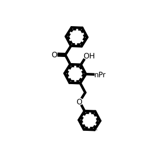 CCCc1c(COc2cc[c]cc2)ccc(C(=O)c2ccccc2)c1O